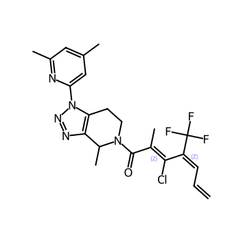 C=C/C=C(\C(Cl)=C(/C)C(=O)N1CCc2c(nnn2-c2cc(C)cc(C)n2)C1C)C(F)(F)F